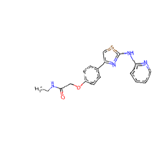 CCNC(=O)COc1ccc(-c2csc(Nc3ccccn3)n2)cc1